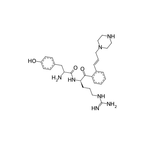 N=C(N)NCCC[C@@H](NC(=O)C(N)Cc1ccc(O)cc1)C(=O)c1ccccc1/C=C/CN1CCNCC1